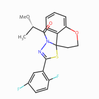 CO[C@@H](C)C(=O)N1N=C(c2cc(F)ccc2F)SC12CCOc1ccccc12